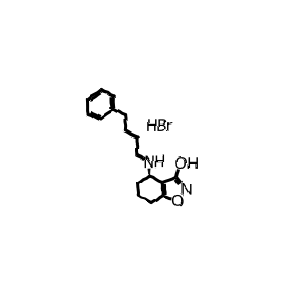 Br.Oc1noc2c1[C@H](NCCCCc1ccccc1)CCC2